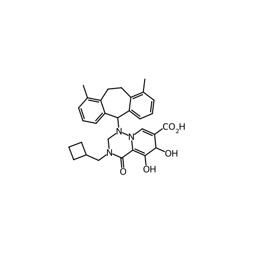 Cc1cccc2c1CCc1c(C)cccc1C2N1CN(CC2CCC2)C(=O)C2=C(O)C(O)C(C(=O)O)=CN21